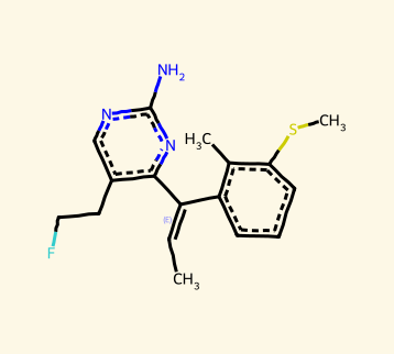 C/C=C(\c1cccc(SC)c1C)c1nc(N)ncc1CCF